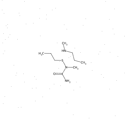 CCCNC.CCCSN(C)C(N)=O